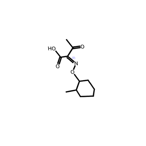 CC(=O)/C(=N/OC1CCCCC1C)C(=O)O